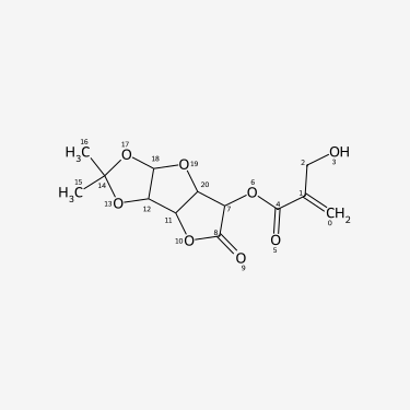 C=C(CO)C(=O)OC1C(=O)OC2C3OC(C)(C)OC3OC12